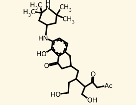 CC(=O)CC(=O)C(CO)C(CCO)CC1CC(=O)c2c(ccc(NC3CC(C)(C)NC(C)(C)C3)c2O)C1